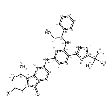 CCCn1c(=O)c2ccc(Nc3ncc(-c4nnc(C(C)(C)O)o4)c(N[C@H](CO)c4ccccc4)n3)nc2n1C(C)C